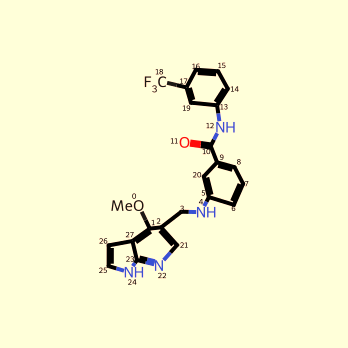 COc1c(CNc2cccc(C(=O)Nc3cccc(C(F)(F)F)c3)c2)cnc2[nH]ccc12